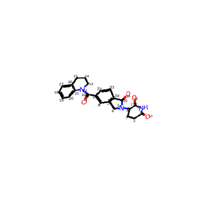 O=C1CCC(N2Cc3cc(C(=O)N4CCCc5ccccc54)ccc3C2=O)C(=O)N1